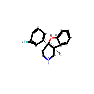 Fc1cccc([C@@]23CCNC[C@@H]2c2ccccc2O3)c1